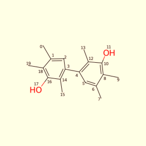 Cc1cc(-c2cc(C)c(C)c(O)c2C)c(C)c(O)c1C